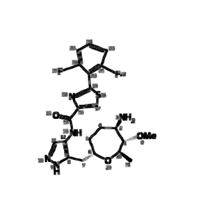 CO[C@H]1[C@H](N)CC[C@@H](Cc2[nH]ncc2NC(=O)c2csc(-c3c(F)cccc3F)n2)O[C@@H]1C